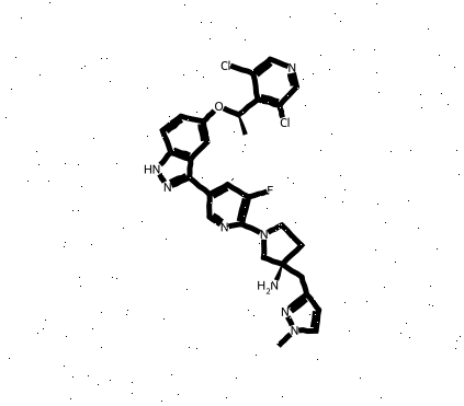 C[C@@H](Oc1ccc2[nH]nc(-c3cnc(N4CC[C@](N)(Cc5ccn(C)n5)C4)c(F)c3)c2c1)c1c(Cl)cncc1Cl